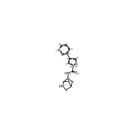 O=C(NC1CC2CNC1C2)n1cc(-c2cccnc2)cn1